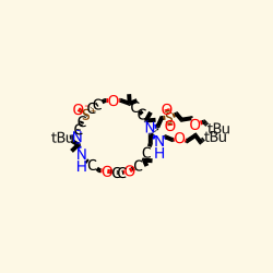 CC(C)(C)CCCOCCN[C@@]1(C)CCC(C)(C)COCCOCCCNC(C)(C)N(C(C)(C)C)CC[S+]([O-])CCCOCC(C)(C)CCC(C)(C)N1CCS(=O)(=O)CCCOCC(C)(C)C